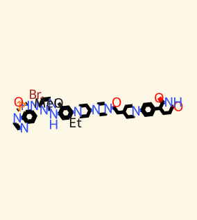 CCc1cc(Nc2ncc(Br)c(Nc3ccc4nccnc4c3P(C)(C)=O)n2)c(OC)cc1N1CCC(N2CCN(C(=O)CC3CCN(c4ccc(C5CCC(=O)NC5=O)cc4)CC3)CC2)CC1